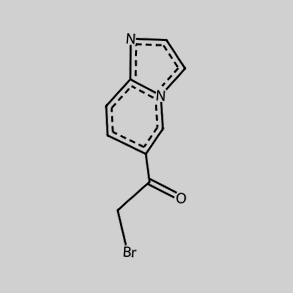 O=C(CBr)c1ccc2nccn2c1